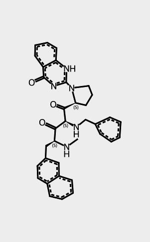 CN[C@@H](Cc1ccc2ccccc2c1)C(=O)[C@H](NCc1ccccc1)C(=O)[C@@H]1CCCN1c1nc(=O)c2ccccc2[nH]1